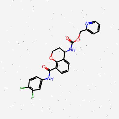 O=C(N[C@@H]1CCOc2c(C(=O)Nc3ccc(F)c(F)c3)cccc21)OCc1ccccn1